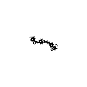 O=C(/C=C/c1ccc(OCCCCc2ccc(N3C(=O)C=CC3=O)cc2)cc1)c1ccc(F)cc1